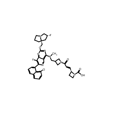 CN(CC1CN(C(=O)/C=C/[C@@H]2CCN2C(=O)O)C1)c1nc(OC[C@@]23CCCN2C[C@H](F)C3)nc2c(F)c(-c3cccc4cccc(Cl)c34)ncc12